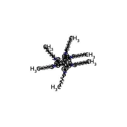 CCCCCCCCCS/C=C/C(=O)Oc1cc2c3cc(OC(=O)/C=C/SCCCCCCCCC)c(OC(=O)/C=C/SCCCCCCCCC)cc3c3cc(OC(=O)/C=C/SCCCCCCCCC)c(OC(=O)/C=C/SCCCCCCCCC)cc3c2cc1OC(=O)/C=C/SCCCCCCCCC